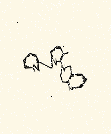 CC1=C(N2CCc3ncccc3C2)N(Cc2ccccn2)CC=C1